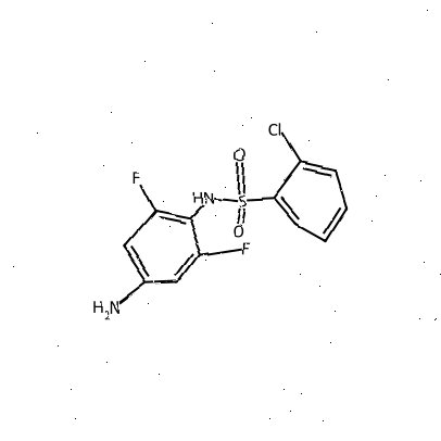 Nc1cc(F)c(NS(=O)(=O)c2ccccc2Cl)c(F)c1